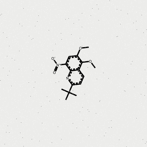 COc1cc([N+](=O)[O-])c2nc(C(C)(C)C)ccc2c1OC